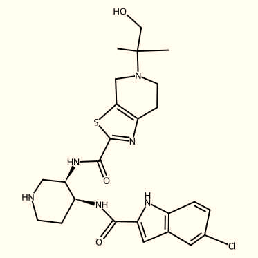 CC(C)(CO)N1CCc2nc(C(=O)N[C@@H]3CNCC[C@@H]3NC(=O)c3cc4cc(Cl)ccc4[nH]3)sc2C1